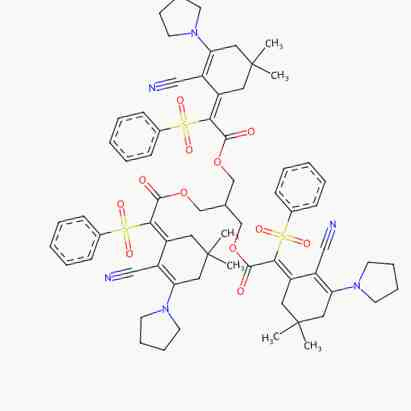 CC1(C)CC(N2CCCC2)=C(C#N)/C(=C(/C(=O)OCC(COC(=O)/C(=C2\CC(C)(C)CC(N3CCCC3)=C2C#N)S(=O)(=O)c2ccccc2)COC(=O)/C(=C2\CC(C)(C)CC(N3CCCC3)=C2C#N)S(=O)(=O)c2ccccc2)S(=O)(=O)c2ccccc2)C1